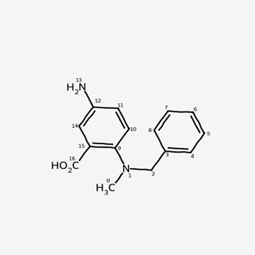 CN(Cc1ccccc1)c1ccc(N)cc1C(=O)O